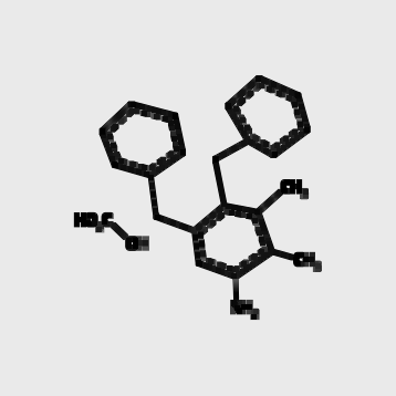 Cc1c(N)cc(Cc2ccccc2)c(Cc2ccccc2)c1C.O=C(O)O